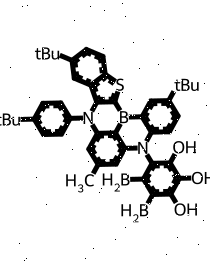 Bc1c(B)c(N2c3ccc(C(C)(C)C)cc3B3c4sc5ccc(C(C)(C)C)cc5c4N(c4ccc(C(C)(C)C)cc4)c4cc(C)cc2c43)c(O)c(O)c1O